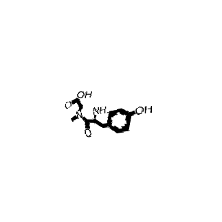 CN(CC(=O)O)C(=O)[C@@H](N)Cc1ccc(O)cc1